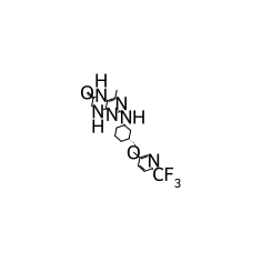 Cc1nc(N[C@@H]2CCC[C@@H](COc3ccc(C(F)(F)F)nc3)C2)nc2c1NC(=O)CN2